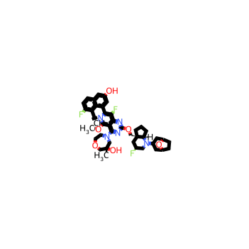 C#Cc1c(F)ccc2cc(O)cc(-c3nc(OC)c4c(N5CCOC[C@@](C)(O)C5)nc(OC[C@]56CCC[C@H]5N(C5CC7CCC(C5)O7)C[C@@H](F)C6)nc4c3F)c12